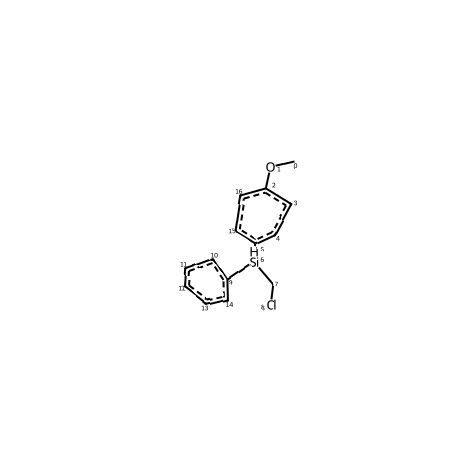 COc1ccc([SiH](CCl)c2ccccc2)cc1